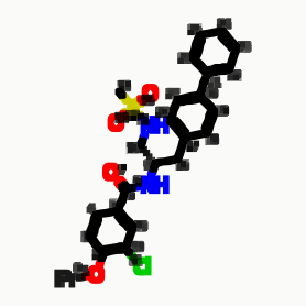 CC(C)Oc1ccc(C(=O)N[C@H](CNS(C)(=O)=O)Cc2ccc(-c3ccccc3)cc2)cc1Cl